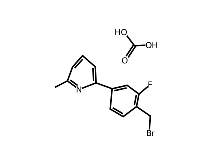 Cc1cccc(-c2ccc(CBr)c(F)c2)n1.O=C(O)O